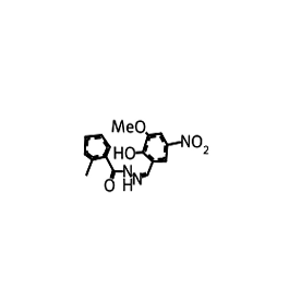 COc1cc([N+](=O)[O-])cc(/C=N\NC(=O)c2ccccc2C)c1O